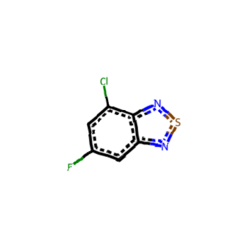 Fc1cc(Cl)c2nsnc2c1